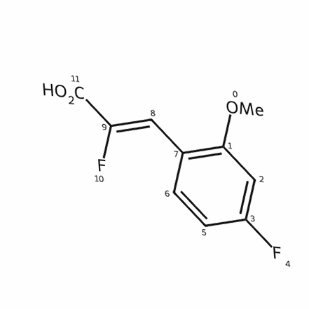 COc1cc(F)ccc1/C=C(\F)C(=O)O